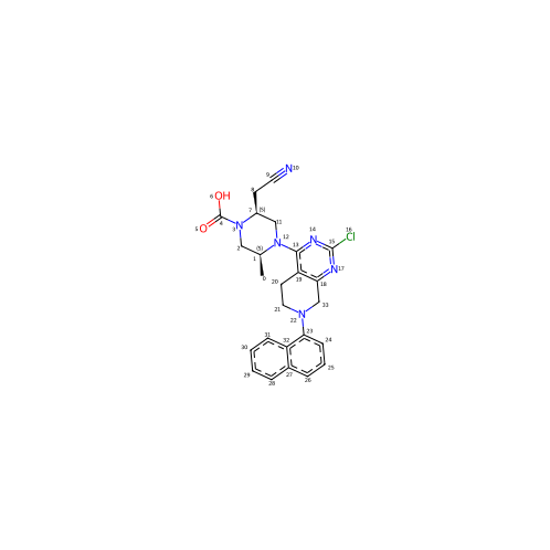 C[C@H]1CN(C(=O)O)[C@@H](CC#N)CN1c1nc(Cl)nc2c1CCN(c1cccc3ccccc13)C2